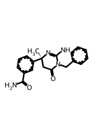 C[C@@]1(c2cccc(C(N)=O)c2)CC(=O)N(Cc2ccccc2)C(N)=N1